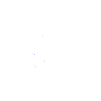 CS(=O)(=O)N1CCC(Nc2ncc(Br)c(O[C@@H]3CCCCC[C@@H]3O)n2)CC1